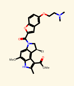 CC[C@@H]1CN(C(=O)c2cc3cc(OCCN(C)C)ccc3o2)c2cc(OC)c3[nH]c(C)c(C(=O)OC)c3c21